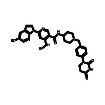 CC(C)Nc1cc(-n2ccc3cc(C#N)cnc32)ncc1C(=O)NC1CCN(Cc2ccc(N3CCC(=O)NC3=O)cc2)CC1